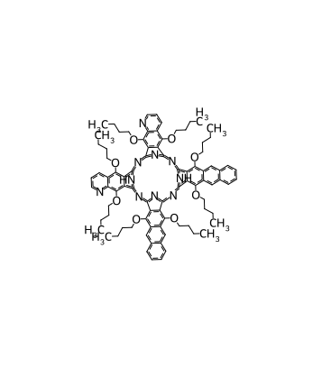 CCCCOc1c2c(c(OCCCC)c3cc4ccccc4cc13)-c1nc-2nc2[nH]c(nc3nc(nc4[nH]c(n1)c1c(OCCCC)c5ncccc5c(OCCCC)c41)-c1c-3c(OCCCC)c3cccnc3c1OCCCC)c1c(OCCCC)c3cc4ccccc4cc3c(OCCCC)c21